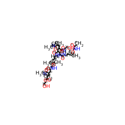 C=CC(=O)NCO[Si](C)(C)CCCNC(=O)C(C)CC(CC(CC(C)C(=O)N(C)C)C(=O)OCCO)C(=O)NCCC[Si](C)(C)OCNC(=O)CC(CCC(=O)OCCO)C(=O)N(C)C